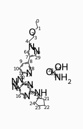 CCOCCn1cc(-c2ccc(-n3nnc4cnc(NC5CCCC5)nc43)nc2)cn1.NC(=O)O